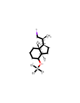 CC[Si](CC)(CC)OC1CCC[C@]2(C)[C@@H]([C@H](C)CI)CC[C@@H]12